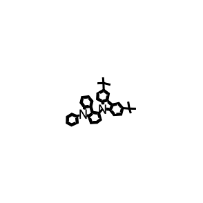 CC(C)(C)c1ccc2c(c1)c1cc(C(C)(C)C)ccc1n2-c1cccc2c1c1ccccc1n2-c1ccccc1